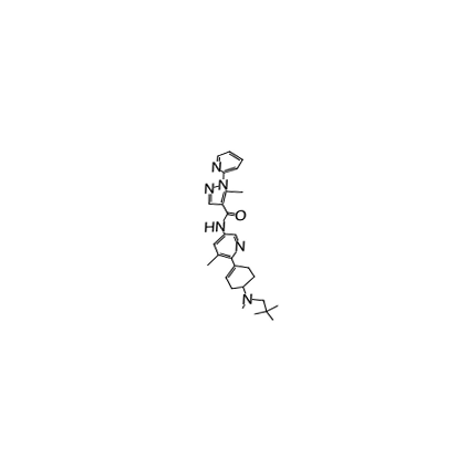 Cc1cc(NC(=O)c2cnn(-c3ccccn3)c2C)cnc1C1=CCC(N(C)CC(C)(C)C)CC1